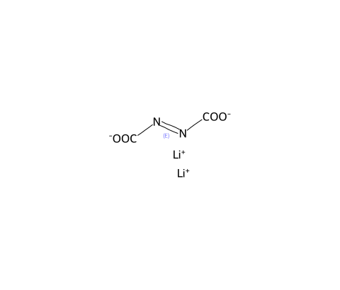 O=C([O-])/N=N/C(=O)[O-].[Li+].[Li+]